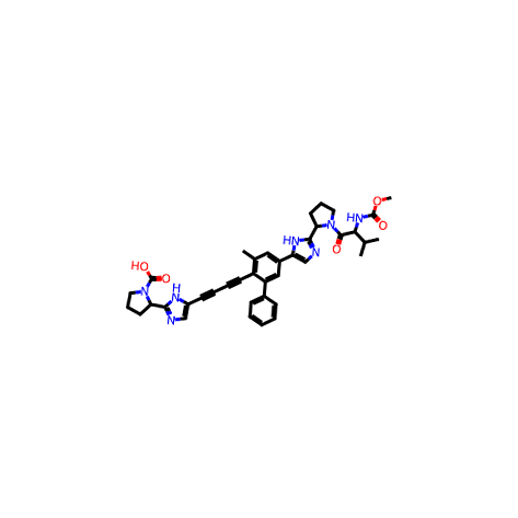 COC(=O)NC(C(=O)N1CCCC1c1ncc(-c2cc(C)c(C#CC#Cc3cnc(C4CCCN4C(=O)O)[nH]3)c(-c3ccccc3)c2)[nH]1)C(C)C